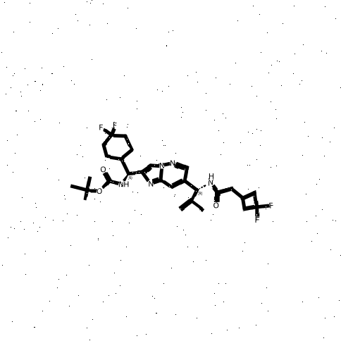 C=C(C)[C@@H](NC(=O)CC1CC(F)(F)C1)c1cnn2cc([C@@H](NC(=O)OC(C)(C)C)C3CCC(F)(F)CC3)nc2c1